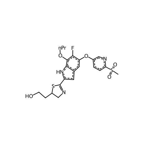 CCCOc1c(F)c(Oc2ccc(S(C)(=O)=O)nc2)cc2cc(C3=NCC(CCO)S3)[nH]c12